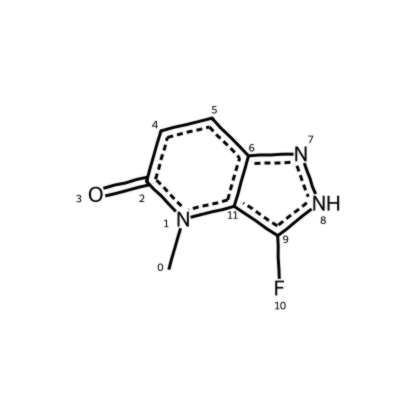 Cn1c(=O)ccc2n[nH]c(F)c21